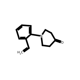 C=Cc1ccccc1N1CCC(=O)CC1